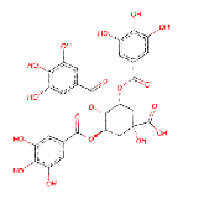 O=C(O[C@@H]1C[C@](O)(C(=O)O)C[C@@H](OC(=O)c2cc(O)c(O)c(O)c2)[C@H]1OC(=O)c1cc(O)c(O)c(O)c1)c1cc(O)c(O)c(O)c1